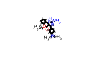 CCOC(=O)C1=C(c2ccccc2)NC(N)=NC1c1ccc(N(C)C)cc1